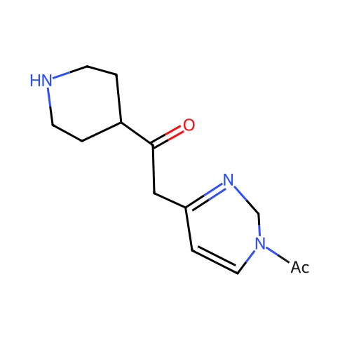 CC(=O)N1C=CC(CC(=O)C2CCNCC2)=NC1